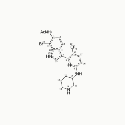 CC(=O)Nc1ccc2c(-c3nc(NC4CCCNC4)ncc3C(F)(F)F)c[nH]c2c1Br